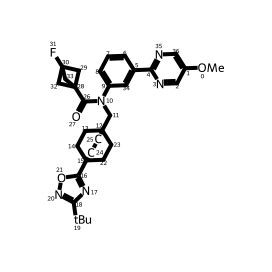 COc1cnc(-c2cccc(N(CC34CCC(c5nc(C(C)(C)C)no5)(CC3)CC4)C(=O)C34CC(F)(C3)C4)c2)nc1